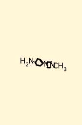 CN1CCN(C2=CC[C@H](N)CC2)CC1